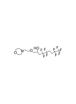 OC(COCCN1CCOCC1)CC(F)(F)C(F)(F)CCC(F)(F)C(F)(F)F